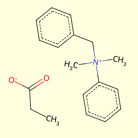 CCC(=O)[O-].C[N+](C)(Cc1ccccc1)c1ccccc1